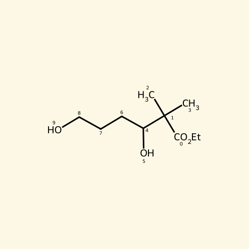 CCOC(=O)C(C)(C)C(O)CCCO